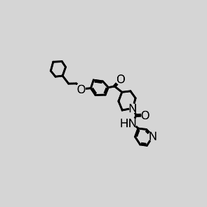 O=C(c1ccc(OCCC2CCCCC2)cc1)C1CCN(C(=O)Nc2cccnc2)CC1